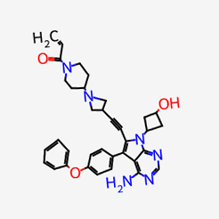 C=CC(=O)N1CCC(N2CC(C#Cc3c(-c4ccc(Oc5ccccc5)cc4)c4c(N)ncnc4n3C3CC(O)C3)C2)CC1